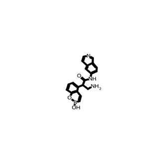 NCC(C(=O)Nc1ccc2cnccc2c1)c1cccc2c1C=CB(O)O2